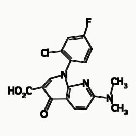 CN(C)c1ccc2c(=O)c(C(=O)O)cn(-c3ccc(F)cc3Cl)c2n1